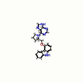 c1ccc2c(c1)[nH]c1cccc(OC[C@H]3CCCN3c3ncnc4[nH]cnc34)c12